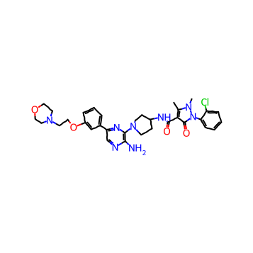 Cc1c(C(=O)NC2CCN(c3nc(-c4cccc(OCCN5CCOCC5)c4)cnc3N)CC2)c(=O)n(-c2ccccc2Cl)n1C